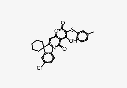 Cc1cccc(Sc2c(O)c3c(=O)n4c(cc3oc2=O)C2(CCCCC2)c2cc(Cl)ccc2-4)c1